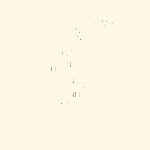 COCCn1nc(OC(=O)N(C)Cc2nsc(NC(=O)NCc3cccc(F)c3)n2)ccc1=O